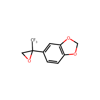 FC(F)(F)C1(c2ccc3c(c2)OCO3)CO1